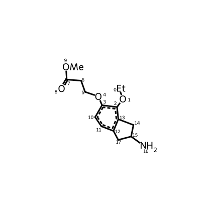 CCOc1c(OCCC(=O)OC)ccc2c1CC(N)C2